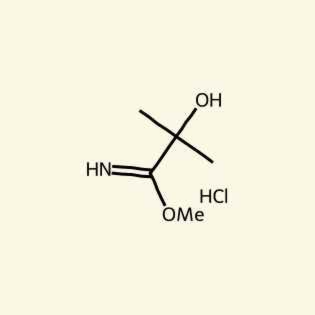 COC(=N)C(C)(C)O.Cl